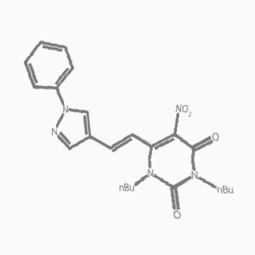 CCCCn1c(/C=C/c2cnn(-c3ccccc3)c2)c([N+](=O)[O-])c(=O)n(CCCC)c1=O